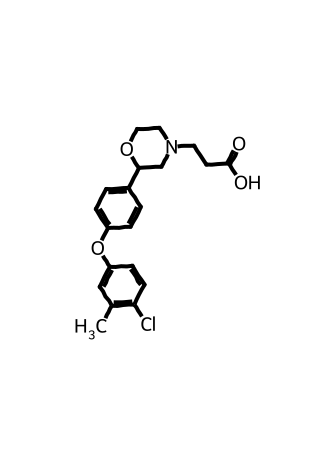 Cc1cc(Oc2ccc(C3CN(CCC(=O)O)CCO3)cc2)ccc1Cl